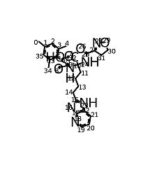 Cc1cc(C)c(S(=O)(=O)NC(CCCCc2nc3ncccc3[nH]2)(NC(=O)C2=NOCC2)C(=O)O)c(C)c1